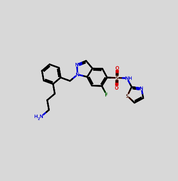 NCCCc1ccccc1Cn1ncc2cc(S(=O)(=O)Nc3nccs3)c(F)cc21